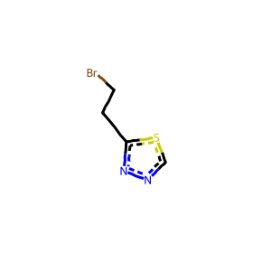 BrCCc1nncs1